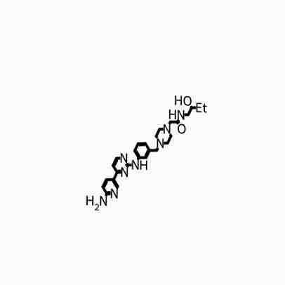 CCC(O)CNC(=O)CN1CCN(Cc2cccc(Nc3nccc(-c4ccc(N)nc4)n3)c2)CC1